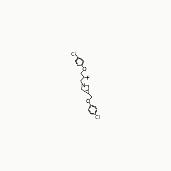 FC(COc1ccc(Cl)cc1)CN1CC2C(COc3ccc(Cl)cc3)C2C1